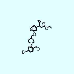 CCOC(=O)CC(c1ccnc(OCC2CCN(c3cc(Br)ccc3C=O)CC2)c1)C1CC1